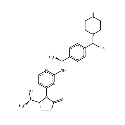 CC(c1ccc([C@H](C)Nc2nccc(N3C(=O)OC[C@@H]3[C@@H](C)O)n2)cc1)N1CCNCC1